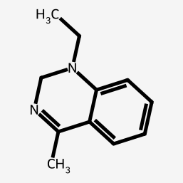 CCN1CN=C(C)c2ccccc21